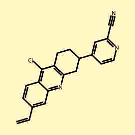 C=Cc1ccc2c(Cl)c3c(nc2c1)CC(c1ccnc(C#N)c1)CC3